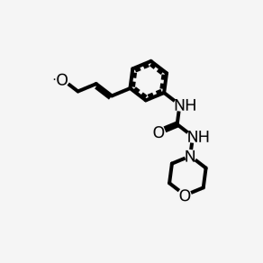 [O]C/C=C/c1cccc(NC(=O)NN2CCOCC2)c1